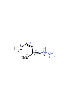 C/C=C\C(=C/NN)C(C)(C)C